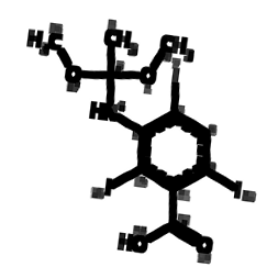 COC(C)(Nc1c(I)cc(I)c(C(=O)O)c1I)OC